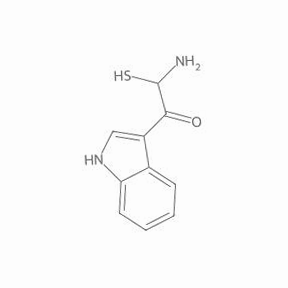 NC(S)C(=O)c1c[nH]c2ccccc12